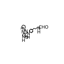 C[C@@H]1CCCCN1c1nc2c(c(Nc3ccc(CCCNC=O)cc3)n1)C(=O)NC2